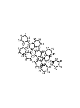 c1ccc(C2=C(c3ccccc3)[C@](c3ccccc3)(c3ccc([C@@]4(c5ccccc5)C(c5ccccc5)=C(c5ccccc5)c5ccccc54)cc3)c3ccccc32)cc1